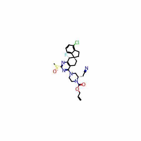 C=CCOC(=O)N1CCN(c2nc([S+](C)[O-])nc3c2CC[C@@]2(CCc4c(Cl)cccc42)[C@H]3F)C[C@@H]1CC#N